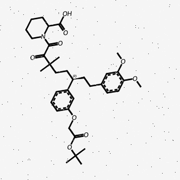 COc1ccc(CC[C@H](CCC(C)(C)C(=O)C(=O)N2CCCCC2C(=O)O)c2cccc(OCC(=O)OC(C)(C)C)c2)cc1OC